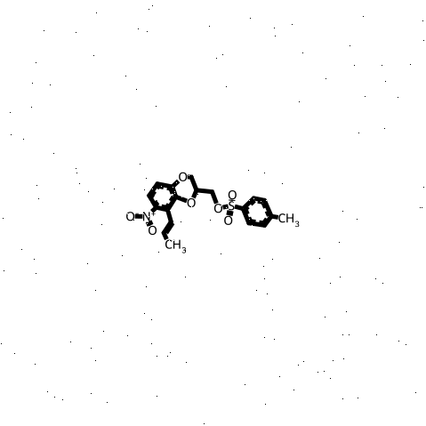 C/C=C/c1c([N+](=O)[O-])ccc2c1OC(COS(=O)(=O)c1ccc(C)cc1)CO2